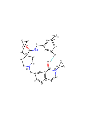 O=C(NCc1cc(CF)cc(C(F)(F)F)c1)C1(CC2CC2)CCN(Cc2ccc3ccn(C4CC4)c(=O)c3c2)CC1